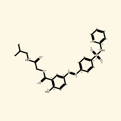 CC(C)CNC(=O)COC(=O)c1cc(N=Nc2ccc(S(=O)(=O)Nc3ccccn3)cc2)ccc1O